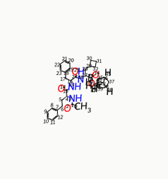 CC(=O)N[C@@H](CCc1ccccc1)C(=O)N[C@@H](Cc1ccccc1)C(=O)N[C@@H](CC1CCC1)B1OC2[C@H]3C[C@@H](C[C@H]2O1)C3(C)C